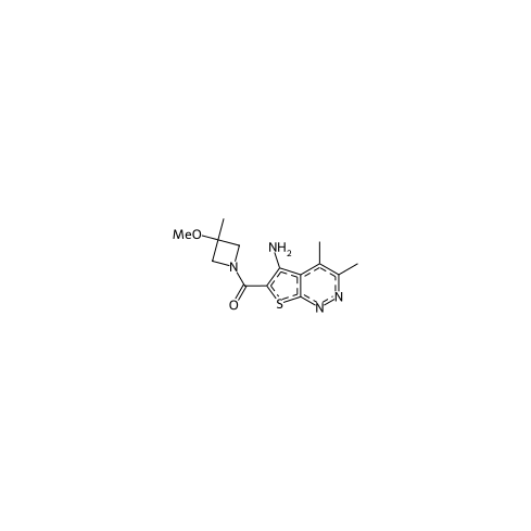 COC1(C)CN(C(=O)c2sc3nnc(C)c(C)c3c2N)C1